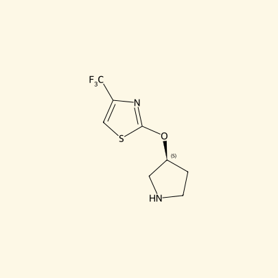 FC(F)(F)c1csc(O[C@H]2CCNC2)n1